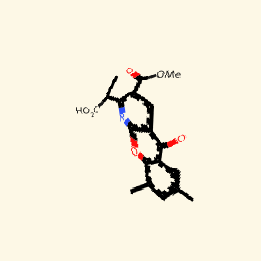 COC(=O)c1cc2c(=O)c3cc(C)cc(C)c3oc2nc1C(C)C(=O)O